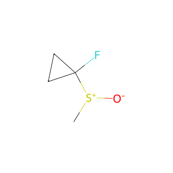 C[S+]([O-])C1(F)CC1